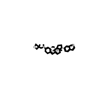 CN(CC1(C)COC1)C1=C[C@@]23CC[C@@]4(O2)C(=CCC2(C)[C@@H](c5ccc6ccncc6c5)CC[C@H]24)C=C3CC1